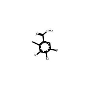 COC(=O)c1cc(F)c(Cl)c(Br)c1C